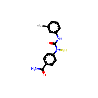 CC(C)(C)c1cccc(NC(=O)N(S)c2ccc(C(N)=O)cc2)c1